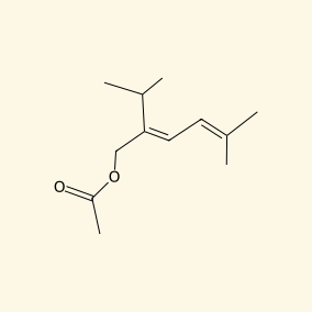 CC(=O)OCC(=CC=C(C)C)C(C)C